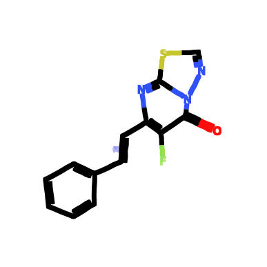 O=c1c(F)c(/C=C/c2ccccc2)nc2scnn12